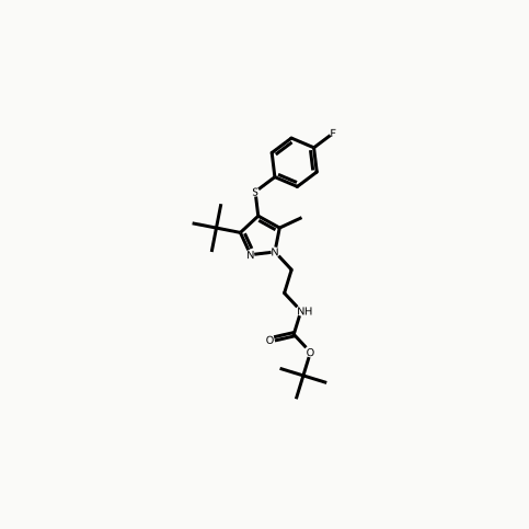 Cc1c(Sc2ccc(F)cc2)c(C(C)(C)C)nn1CCNC(=O)OC(C)(C)C